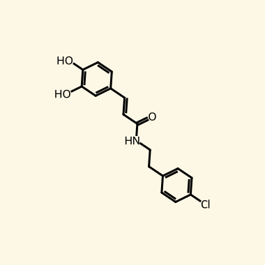 O=C(/C=C/c1ccc(O)c(O)c1)NCCc1ccc(Cl)cc1